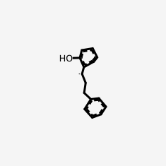 Oc1ccccc1[CH]CCc1ccccc1